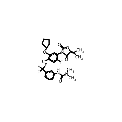 CC(C)=C1OC(=O)N(c2cc(OC3CCCC3)c(Cl)cc2F)C1=O.CN(C)C(=O)Nc1cccc(C(F)(F)F)c1